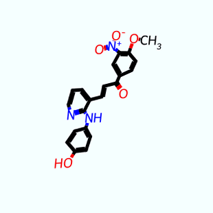 COc1ccc(C(=O)C=Cc2cccnc2Nc2ccc(O)cc2)cc1[N+](=O)[O-]